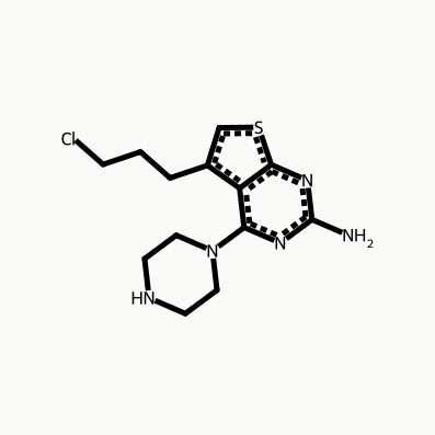 Nc1nc(N2CCNCC2)c2c(CCCCl)csc2n1